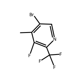 Cc1c(Br)cnc(C(F)(F)F)c1F